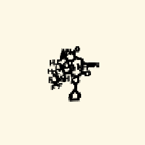 CC(C)(C)C(NC(=O)C(F)(F)F)C(=O)N1CC(C2CCCC2)CC1C(=O)NC(C#N)CC1CCC2(CC2)NC1=O